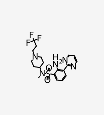 CN(C1CCN(CCC(F)(F)F)CC1)S(=O)(=O)c1cccc(-c2ncccn2)c1N